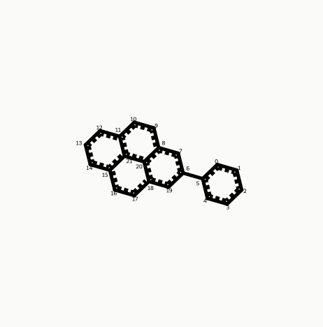 [c]1ccccc1-c1cc2ccc3cccc4ccc(c1)c2c34